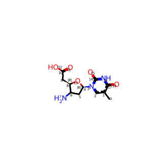 Cc1cn([C@H]2CC(N)[C@@H](CC(=O)O)O2)c(=O)[nH]c1=O